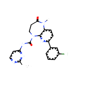 CCN1C(=O)CCN(C(=O)Nc2ccnc(OC)n2)c2nc(-c3cccc(Cl)c3)ccc21